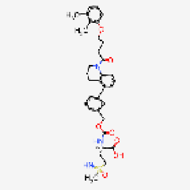 Cc1cccc(OCCCC(=O)N2CCCc3c(-c4cccc(COC(=O)N[C@@H](CCS(C)(=N)=O)C(=O)O)c4)cccc32)c1C